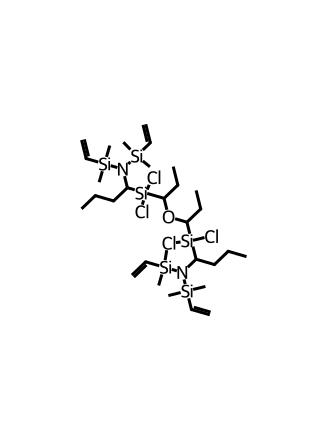 C=C[Si](C)(C)N(C(CCC)[Si](Cl)(Cl)C(CC)OC(CC)[Si](Cl)(Cl)C(CCC)N([Si](C)(C)C=C)[Si](C)(C)C=C)[Si](C)(C)C=C